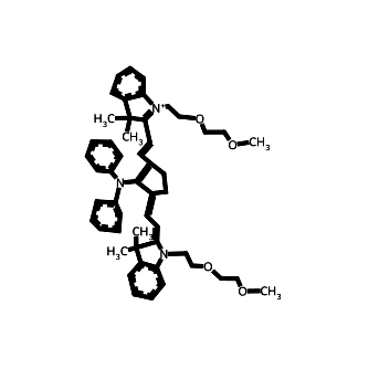 COCCOCCN1/C(=C/C=C2\CCC(/C=C/C3=[N+](CCOCCOC)c4ccccc4C3(C)C)=C2N(c2ccccc2)c2ccccc2)C(C)(C)c2ccccc21